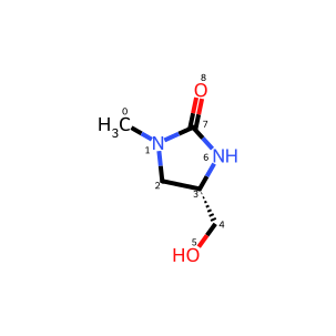 CN1C[C@@H](CO)NC1=O